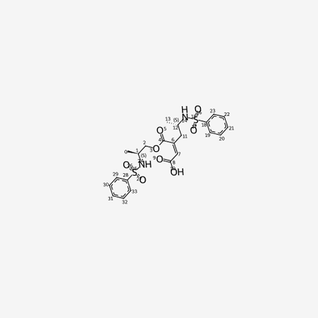 C[C@@H](COC(=O)C(=CC(=O)O)C[C@H](C)NS(=O)(=O)c1ccccc1)NS(=O)(=O)c1ccccc1